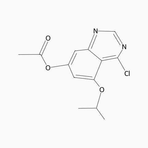 CC(=O)Oc1cc(OC(C)C)c2c(Cl)ncnc2c1